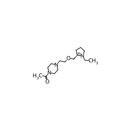 CCN1CCC[C@@H]1COCCN1CCN(C(C)=O)CC1